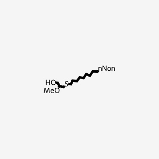 CCCCCCCCCCCCCCCCCCSCC(CO)OC